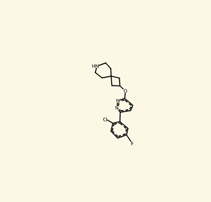 Fc1ccc(Cl)c(-c2ccc(OC3CC4(CCNCC4)C3)nn2)c1